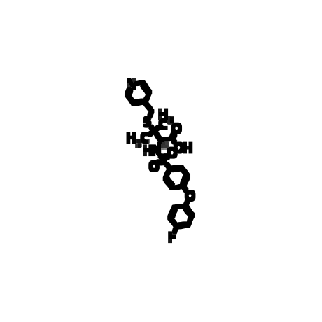 CC(C)(SCc1ccncc1)[C@@H](NS(=O)(=O)c1ccc(Oc2ccc(F)cc2)cc1)C(=O)O